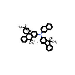 C[C@@H]1C[C@H]2CCCC1CC21c2ccccc2C(C)(C)c2cc(N(c3ccc4c(c3)C(C)(C)c3ccccc3-4)c3ccc4ccccc4c3)ccc21